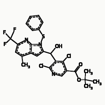 Cc1cc(C(F)(F)F)nc2c1cc(C(O)c1c(Cl)ncc(C(=O)OC(C)(C)C)c1Cl)n2Sc1ccccc1